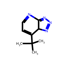 CC(C)(C)C1=CC=NC2=NN=NC12